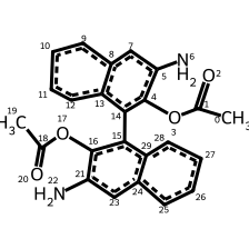 CC(=O)Oc1c(N)cc2ccccc2c1-c1c(OC(C)=O)c(N)cc2ccccc12